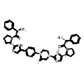 C[C@@H](C(=O)N1CCC[C@H]1c1cnc(N2CCN(c3ccc(-c4cnc([C@@H]5CCCN5C(=O)[C@H](C)c5ccccc5)[nH]4)cc3)C(=O)C2)[nH]1)c1ccccc1